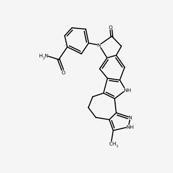 Cc1[nH]nc2c1CCCc1c-2[nH]c2cc3c(cc12)N(c1cccc(C(N)=O)c1)C(=O)C3